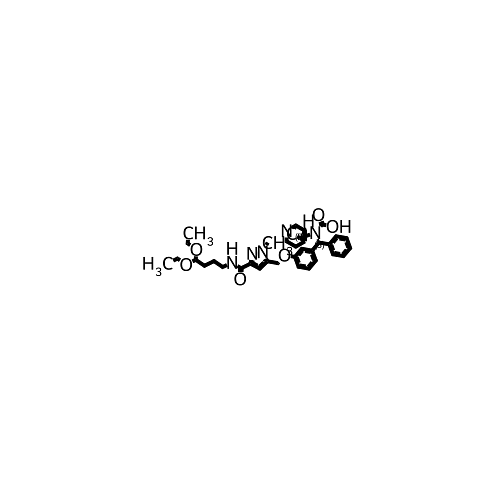 CCOC(CCCNC(=O)c1cc(COc2cccc([C@H](c3ccccc3)N(C(=O)O)[C@H]3CN4CCC3CC4)c2)n(C)n1)OCC